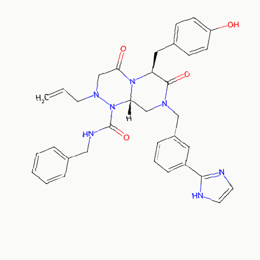 C=CCN1CC(=O)N2[C@@H](Cc3ccc(O)cc3)C(=O)N(Cc3cccc(-c4ncc[nH]4)c3)C[C@@H]2N1C(=O)NCc1ccccc1